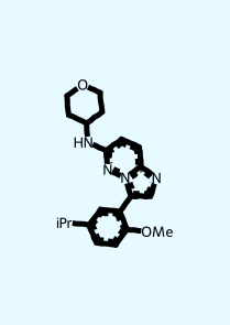 COc1ccc(C(C)C)cc1-c1cnc2ccc(NC3CCOCC3)nn12